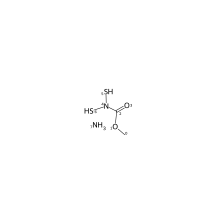 COC(=O)N(S)S.N